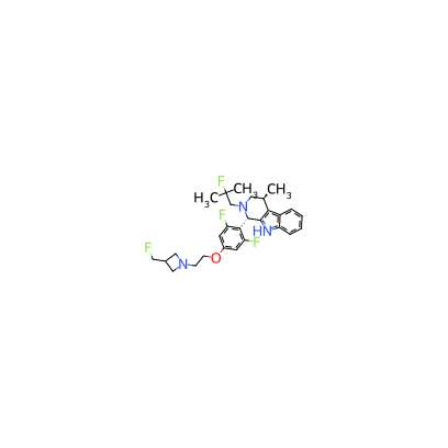 C[C@@H]1CN(CC(C)(C)F)[C@@H](c2c(F)cc(OCCN3CC(CF)C3)cc2F)c2[nH]c3ccccc3c21